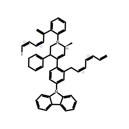 C=C/C=C\C=C/Cc1cc(-n2c3ccccc3c3ccccc32)ccc1C1=C[C@H](C)N(c2ccccc2C(=C)/C=C\C=C/I)CC1C1=CCCC=C1